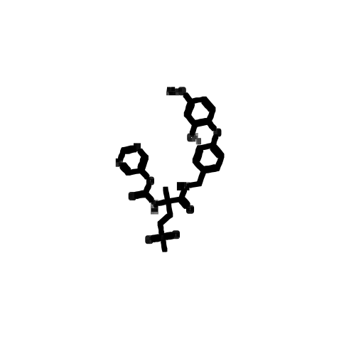 COc1ccc(Oc2ccc(CNC(=O)C(C)(CCS(C)(=O)=O)NC(=O)Oc3cncnc3)cc2)c(C(F)(F)F)c1